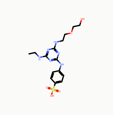 CCNc1nc(NCCOCCO)nc(Nc2ccc(S(=O)(=O)O)cc2)n1